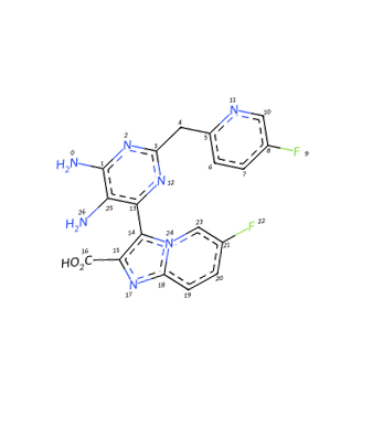 Nc1nc(Cc2ccc(F)cn2)nc(-c2c(C(=O)O)nc3ccc(F)cn23)c1N